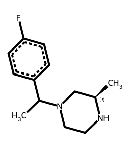 CC(c1ccc(F)cc1)N1CCN[C@H](C)C1